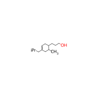 CC(C)CC1=CCC(CCCO)C(C)C1